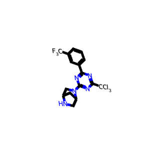 FC(F)(F)c1cccc(-c2nc(N3CC4CC3CN4)nc(C(Cl)(Cl)Cl)n2)c1